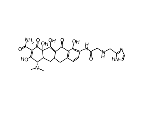 CN(C)[C@@H]1C(O)=C(C(N)=O)C(=O)[C@@]2(O)C(O)=C3C(=O)c4c(ccc(NC(=O)CNCc5ncc[nH]5)c4O)CC3CC12